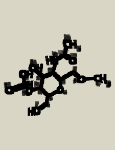 COCC1OC(CO)[C@@H](O[PH](=O)O)C(O)C1NC(C)=O